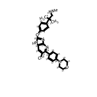 CNCC(C)(C)c1ccc(Oc2nc3nc(-c4ccc(N5CCOCC5)cc4)c(Cl)cc3[nH]2)cc1